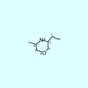 CCC1COCC(C)[N]1